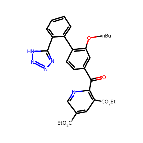 CCCCOc1cc(C(=O)c2ncc(C(=O)OCC)cc2C(=O)OCC)ccc1-c1ccccc1-c1nnn[nH]1